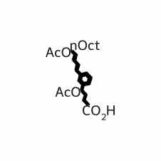 CCCCCCCCC(C=CC=Cc1cccc(C(CCCC(=O)O)OC(C)=O)c1)OC(C)=O